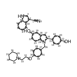 N#Cc1c[nH]c2ccccc12.Oc1ccc(-c2cc3cc(O)ccc3n2Cc2ccc(OCCN3CCCCC3)cc2)cc1